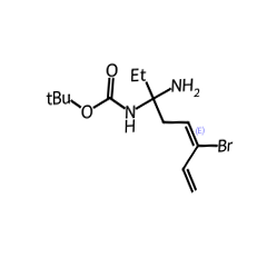 C=C/C(Br)=C\CC(N)(CC)NC(=O)OC(C)(C)C